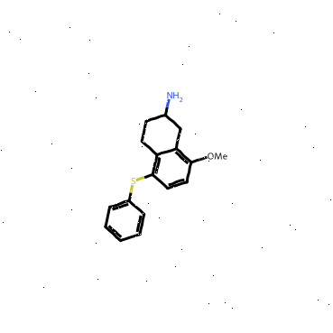 COc1ccc(Sc2ccccc2)c2c1CC(N)CC2